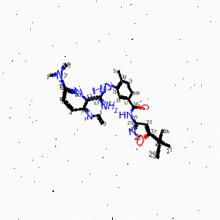 C=C/N=C1/C=CC(N(C)C)=N/C1=C(/N)Nc1cc(C(=O)Nc2cc(C(C)(C)C)on2)ccc1C